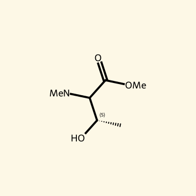 CNC(C(=O)OC)[C@H](C)O